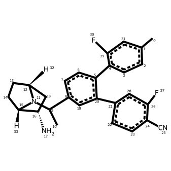 Cc1ccc(-c2ccc(C(C)N3[C@@H]4CC[C@H]3[C@@H](N)C4)cc2-c2ccc(C#N)c(F)c2)c(F)c1